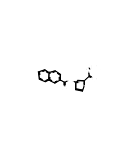 CC(C)(C)OC(=O)C1CC2(OC(=O)c3ccc4ccccc4c3)C=CC1O2